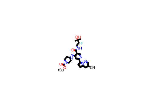 CC(C)(C)OC(=O)N1CCC(Nc2cc(-c3ccc4cc(C#N)cnn34)ncc2C(=O)NC[C@@H](F)C(C)(C)O)CC1